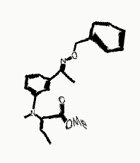 CC=C(C(=O)OC)N(C)c1cccc(C(C)=NOCc2ccccc2)c1